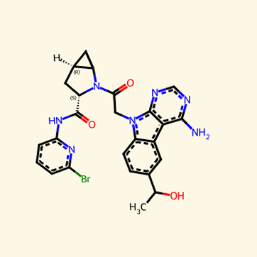 CC(O)c1ccc2c(c1)c1c(N)ncnc1n2CC(=O)N1C2C[C@@H]2C[C@H]1C(=O)Nc1cccc(Br)n1